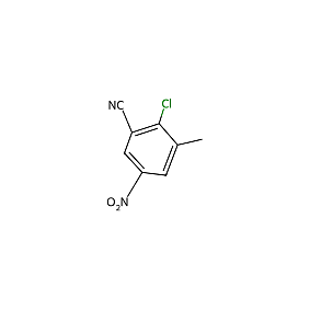 Cc1cc([N+](=O)[O-])cc(C#N)c1Cl